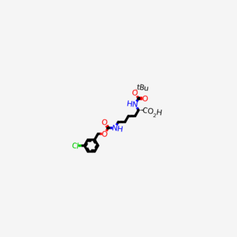 CC(C)(C)OC(=O)N[C@@H](CCCCNC(=O)OCc1cccc(Cl)c1)C(=O)O